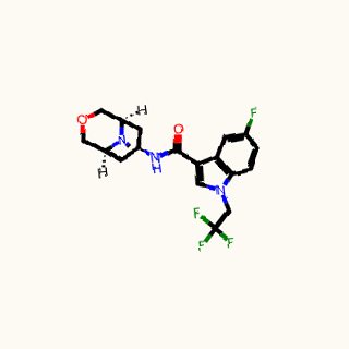 CN1[C@@H]2COC[C@H]1C[C@@H](NC(=O)c1cn(CC(F)(F)F)c3ccc(F)cc13)C2